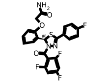 NC(=O)COc1ccccc1[C@H]1SC(c2ccc(F)cc2)=NN1C(=O)c1c(F)cc(F)cc1F